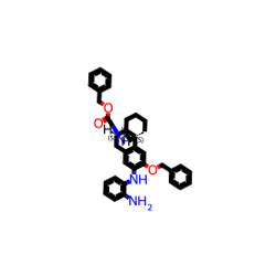 Nc1ccccc1Nc1cc2c(cc1OCc1ccccc1)[C@]13CCCC[C@@H]1[C@H](C2)N(C(=O)OCc1ccccc1)CC3